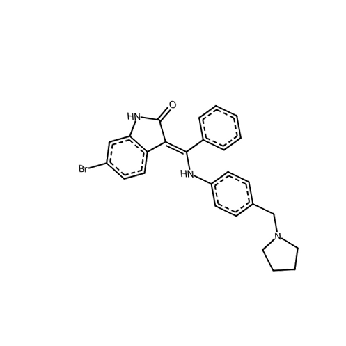 O=C1Nc2cc(Br)ccc2C1=C(Nc1ccc(CN2CCCC2)cc1)c1ccccc1